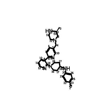 C[C@H]1CN(Cc2ccc(-c3cccnc3N3CCC(Nc4ccc(F)cc4)CC3)nc2)CCN1